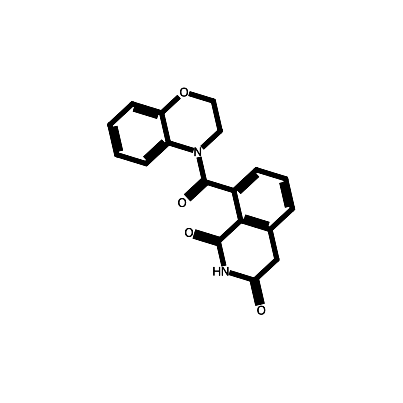 O=C1Cc2cccc(C(=O)N3CCOc4ccccc43)c2C(=O)N1